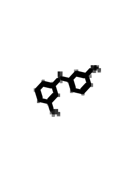 Nc1cccc(Pc2cccc(N)c2)c1